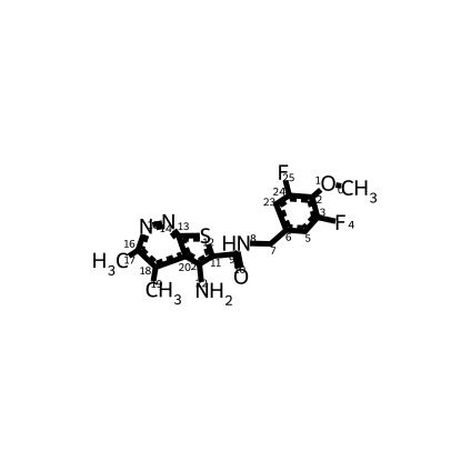 COc1c(F)cc(CNC(=O)c2sc3nnc(C)c(C)c3c2N)cc1F